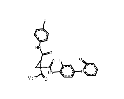 COC(=O)C1(C(=O)Nc2ccc(-n3ccccc3=O)cc2F)CC1C(=O)Nc1ccc(Cl)cc1